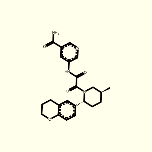 C[C@H]1CC[C@H](c2ccc3c(c2)CCCO3)N(C(=O)C(=O)Nc2cncc(C(N)=O)c2)C1